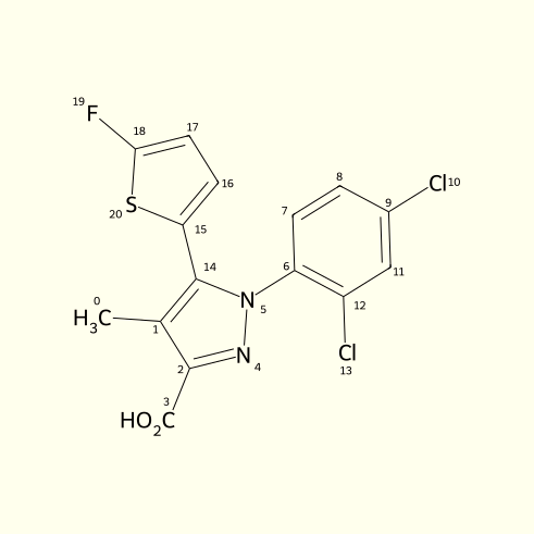 Cc1c(C(=O)O)nn(-c2ccc(Cl)cc2Cl)c1-c1ccc(F)s1